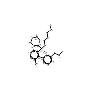 COCCCC[C@@](O)(c1cccc(Cl)c1-c1cccc(COC)c1)[C@H]1CNCCO1